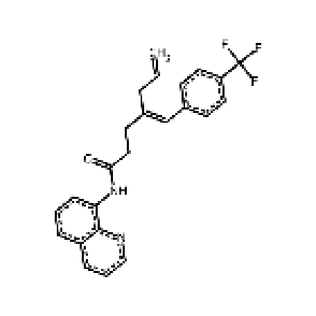 C=CCC(=Cc1ccc(C(F)(F)F)cc1)CCC(=O)Nc1cccc2cccnc12